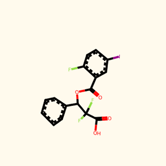 O=C(OC(c1ccccc1)C(F)(F)C(=O)O)c1cc(I)ccc1F